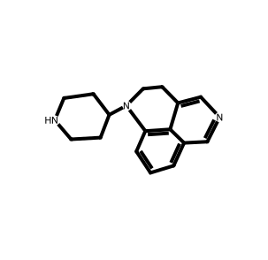 c1cc2c3c(cncc3c1)CCN2C1CCNCC1